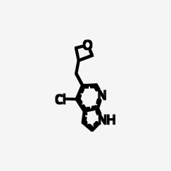 Clc1c(CC2COC2)cnc2[nH]ccc12